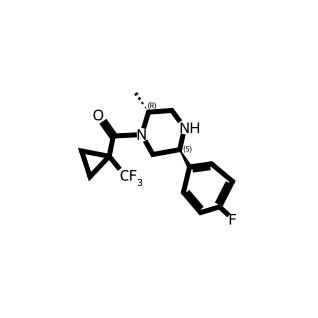 C[C@@H]1CN[C@@H](c2ccc(F)cc2)CN1C(=O)C1(C(F)(F)F)CC1